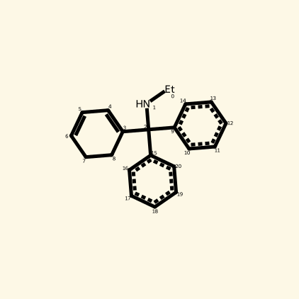 CCNC(C1=CC=CCC1)(c1ccccc1)c1ccccc1